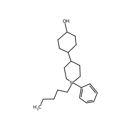 CCCCC[Si]1(c2ccccc2)CCC(C2CCC(O)CC2)CC1